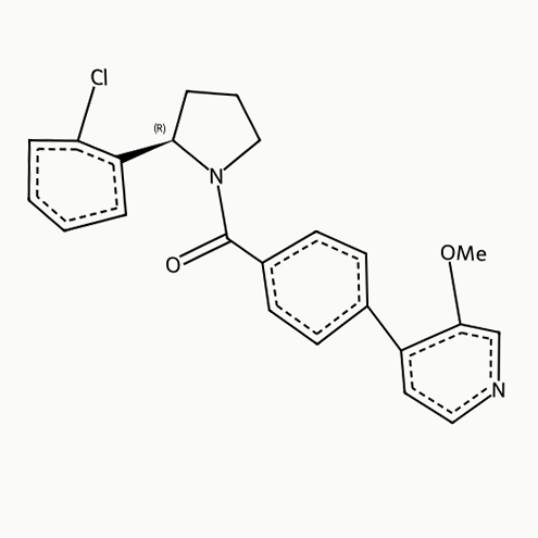 COc1cnccc1-c1ccc(C(=O)N2CCC[C@@H]2c2ccccc2Cl)cc1